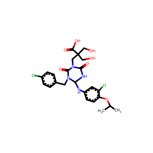 CC(C)Oc1ccc(NC2NC(=O)N(CC(CO)(CO)C(=O)O)C(=O)N2Cc2ccc(Cl)cc2)cc1Cl